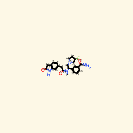 CN(C(=O)Cc1ccc2c(c1)NC(=O)C2)C(CN1CC[C@@H](F)C1)c1cccc(C(N)=O)c1